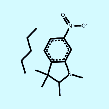 CC1N(C)c2cc([N+](=O)[O-])ccc2C1(C)C.CCCCC